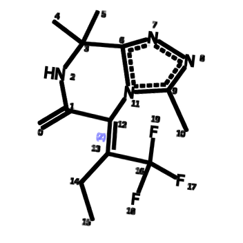 C=C1NC(C)(C)c2nnc(C)n2/C1=C(/CC)C(F)(F)F